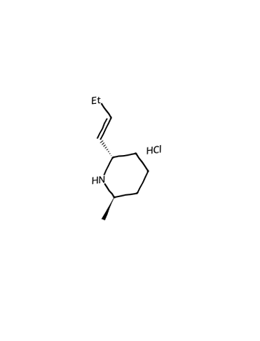 CC/C=C/[C@@H]1CCC[C@@H](C)N1.Cl